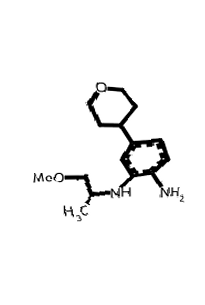 COC[C@H](C)Nc1cc(C2CCOCC2)ccc1N